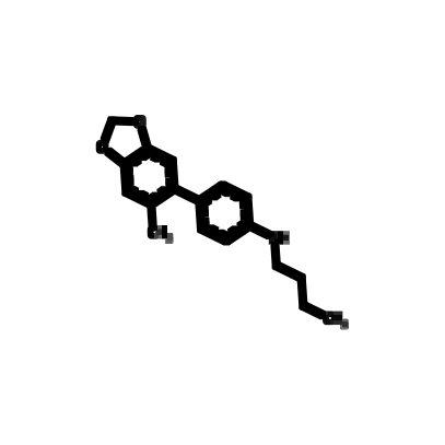 CCCCNc1ccc(-c2cc3c(cc2C)OCO3)cc1